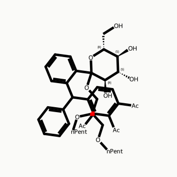 CCCCCOCC(COC1(c2ccccc2C(c2ccccc2)c2ccc(C(C)=O)c(C(C)=O)c2C(C)=O)O[C@H](CO)[C@@H](O)[C@H](O)[C@H]1O)OCCCCC